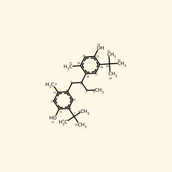 CCC(Cc1cc(C(C)(C)C)c(O)cc1C)c1cc(C(C)(C)C)c(O)cc1C